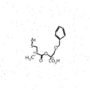 CC(=O)SC[C@@H](C)C(=O)O[C@@H](COCc1ccccc1)C(=O)O